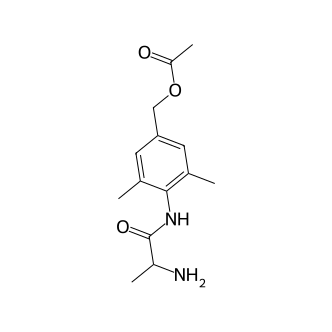 CC(=O)OCc1cc(C)c(NC(=O)C(C)N)c(C)c1